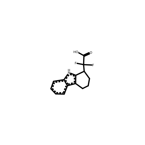 O=C(O)C(F)(F)C1CCCc2c1[nH]c1ccccc21